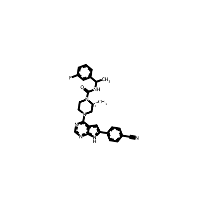 CC(NC(=O)N1CCN(c2ncnc3[nH]c(-c4ccc(C#N)cc4)cc23)C[C@H]1C)c1cccc(F)c1